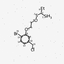 CCC([SiH3])SOCCOc1cc(CCl)ccc1Br